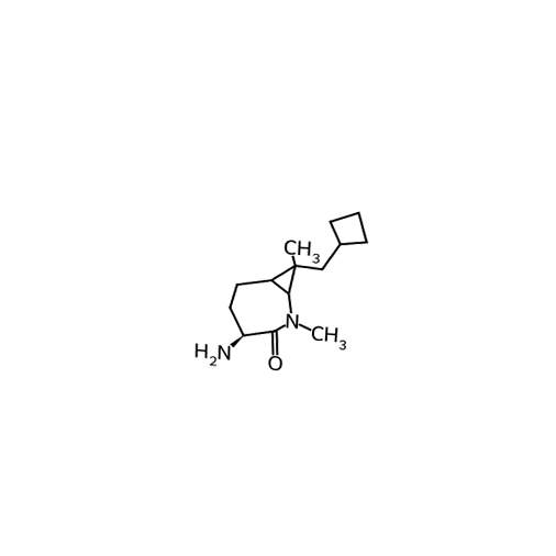 CN1C(=O)[C@@H](N)CCC2C1C2(C)CC1CCC1